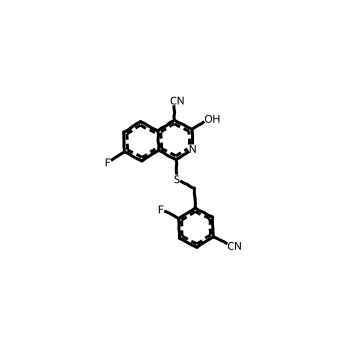 N#Cc1ccc(F)c(CSc2nc(O)c(C#N)c3ccc(F)cc23)c1